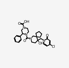 O=C(O)N1CCN(C(=O)N2CCC(O)(Cn3ccc(Cl)cc3=O)C3(CCCC3)C2)C(c2ccccc2)C1